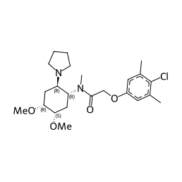 CO[C@H]1C[C@@H](N(C)C(=O)COc2cc(C)c(Cl)c(C)c2)[C@H](N2CCCC2)C[C@H]1OC